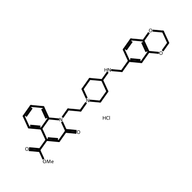 COC(=O)c1cc(=O)n(CCN2CCC(NCc3ccc4c(c3)OCCO4)CC2)c2ccccc12.Cl